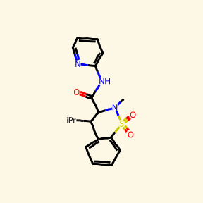 CC(C)C1c2ccccc2S(=O)(=O)N(C)C1C(=O)Nc1ccccn1